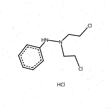 Cl.ClCCN(CCCl)Nc1ccccc1